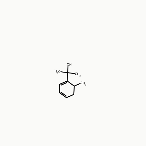 CC1CC=CC=C1C(C)(C)O